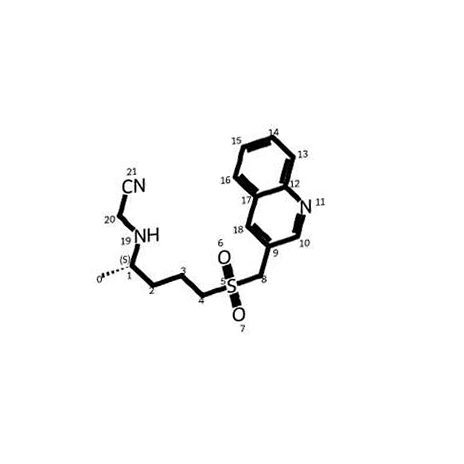 C[C@@H](CCCS(=O)(=O)Cc1cnc2ccccc2c1)NCC#N